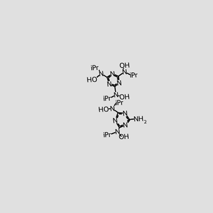 CC(C)N(O)c1nc(N(O)C(C)C)nc(N(O)C(C)C)n1.CC(C)N(O)c1nc(N)nc(N(O)C(C)C)n1